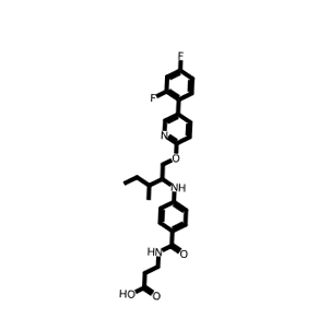 CCC(C)C(COc1ccc(-c2ccc(F)cc2F)cn1)Nc1ccc(C(=O)NCCC(=O)O)cc1